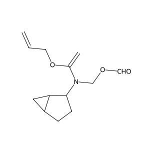 C=CCOC(=C)N(COC=O)C1CCC2CC21